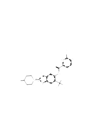 CC(C)(O)c1cc2nc(N3CCC(C=O)CC3)sc2cc1NC(=O)c1cccc(C(F)(F)F)n1